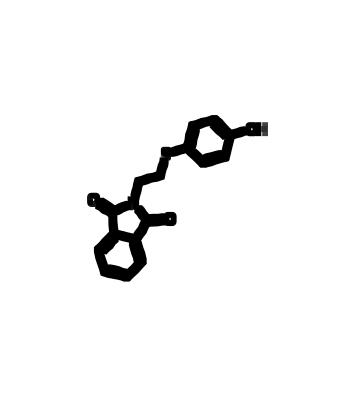 O=C1c2ccccc2C(=O)N1CCSc1ccc(O)cc1